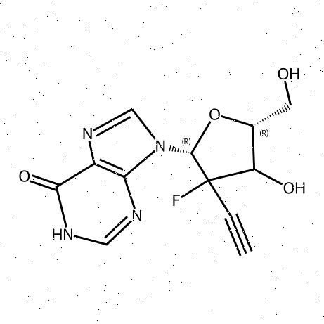 C#CC1(F)C(O)[C@@H](CO)O[C@H]1n1cnc2c(=O)[nH]cnc21